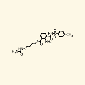 Cc1ccc(S(=O)(=O)NC(=O)c2cccc(C(=O)OCCCCSNC(N)=O)c2N)cc1